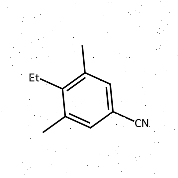 CCc1c(C)cc(C#N)cc1C